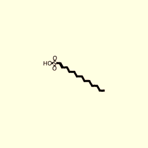 CCCCCCCCCCC/C=C/S(=O)(=O)O